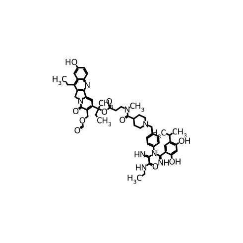 CCNC(=O)C(=N)N(C(=N)c1cc(C(C)C)c(O)cc1O)c1ccc(CN2CCC(C(=O)N(C)CCC(=O)OC(C)(CC)c3cc4n(c(=O)c3COC=O)Cc3c-4nc4ccc(O)cc4c3CC)CC2)cc1